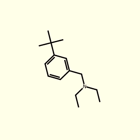 CCN(CC)Cc1cccc(C(C)(C)C)c1